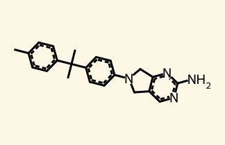 Cc1ccc(C(C)(C)c2ccc(N3Cc4cnc(N)nc4C3)cc2)cc1